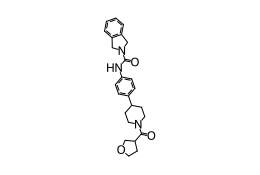 O=C(Nc1ccc(C2CCN(C(=O)C3CCOC3)CC2)cc1)N1Cc2ccccc2C1